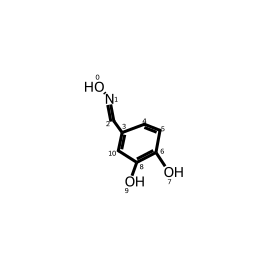 ON=Cc1ccc(O)c(O)c1